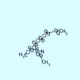 C=CC(=O)OCCCCOC(=O)C1CCC(C(=O)OC2CCC(C(=O)Oc3ccc(OC(=O)C4CCC(C)CC4)c4c3S/C(=C(\C#N)C(=O)OCCCC)S4)CC2)CC1